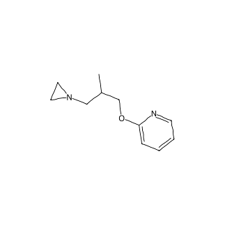 CC(COc1ccccn1)CN1CC1